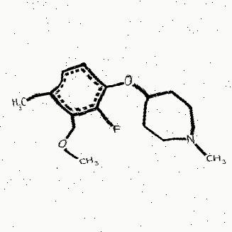 COc1c(C)ccc(OC2CCN(C)CC2)c1F